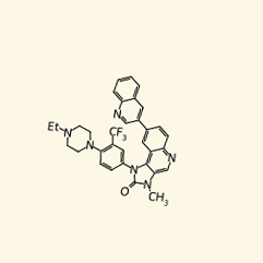 CCN1CCN(c2ccc(-n3c(=O)n(C)c4cnc5ccc(-c6cnc7ccccc7c6)cc5c43)cc2C(F)(F)F)CC1